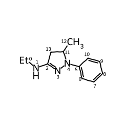 CCNC1=NN(c2ccccc2)C(C)C1